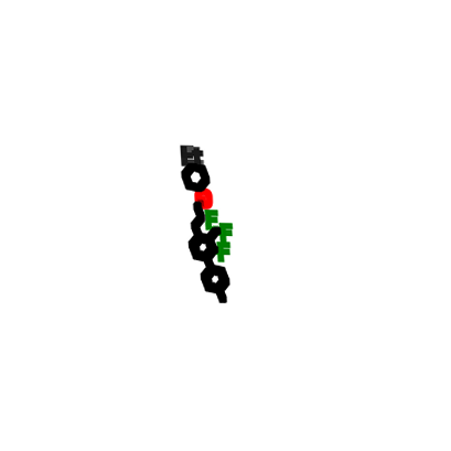 CCC1CCC(OCCCc2ccc(-c3ccc(C)cc3)c(F)c2C(F)F)CC1